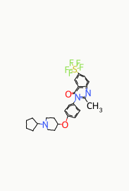 Cc1nc2ccc(S(F)(F)(F)(F)F)cc2c(=O)n1-c1ccc(OC2CCN(C3CCCC3)CC2)cc1